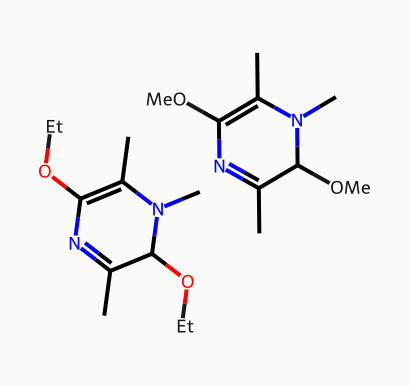 CCOC1=C(C)N(C)C(OCC)C(C)=N1.COC1=C(C)N(C)C(OC)C(C)=N1